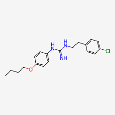 CCCCOc1ccc(NC(=N)NCCc2ccc(Cl)cc2)cc1